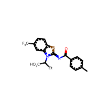 CCC(C(=O)O)n1/c(=N/C(=O)c2ccc(C)cc2)sc2ccc(C(F)(F)F)cc21